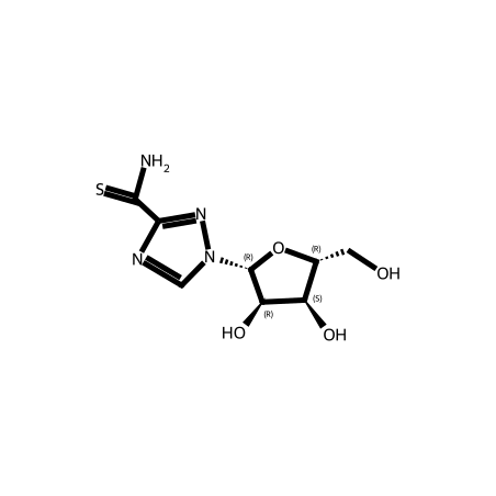 NC(=S)c1ncn([C@@H]2O[C@H](CO)[C@@H](O)[C@H]2O)n1